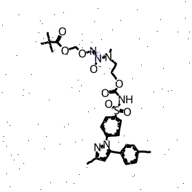 Cc1ccc(-c2cc(C)nn2-c2ccc(S(=O)(=O)NC(=O)OCCN(C)/[N+]([O-])=N/OCOC(=O)C(C)(C)C)cc2)cc1